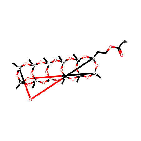 CCC(C)C(=O)OCC[Si]12O[Si]3(C)O[Si]4(C)O[Si]5(C)O[Si]6(C)O[Si](C)(O4)O[Si](C)(O3)O[Si](C)(O[Si]3(C)O[Si](C)(O6)O[Si](C)(O5)O[Si](C)(O3)O1)O2